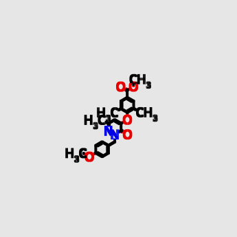 COC(=O)c1cc(C)c(Oc2cc(C)nn(Cc3ccc(OC)cc3)c2=O)c(C)c1